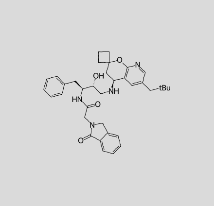 CC(C)(C)Cc1cnc2c(c1)[C@@H](NC[C@@H](O)[C@H](Cc1ccccc1)NC(=O)CN1Cc3ccccc3C1=O)CC1(CCC1)O2